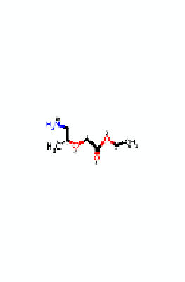 CCOC(=O)CO[C@H](C)CN